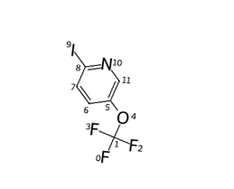 FC(F)(F)Oc1ccc(I)nc1